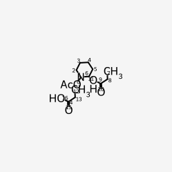 CC(=O)ON1CCCCC1.CCC(=O)O.CCC(=O)O